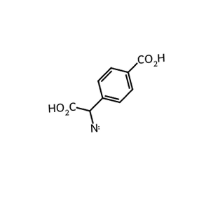 [N]C(C(=O)O)c1ccc(C(=O)O)cc1